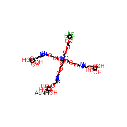 CC(=O)N[C@@H]1[C@@H](O)[C@@H](O)[C@@H](COCCc2cn(CCOCCOCCOCC(COCCOCCOCCn3cc(CCCC[C@H]4O[C@@H](O)C[C@@H](O)[C@H]4O)nn3)(COCCOCCOCCn3cc(CCOC[C@H]4O[C@@H](O)C[C@@H](O)[C@H]4O)nn3)NC(=O)CCOCCOCCC(=O)Oc3c(F)c(F)c(F)c(F)c3F)nn2)O[C@H]1O